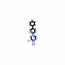 C[C@@H]1CN(c2ccc(-c3ccccc3)cn2)CCN1